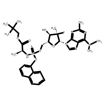 Cc1nc(N(C)C)c2ncn([C@@H]3O[C@H](CO[P@](=S)(N[C@@H](C)C(=O)OCC(C)(C)C)Oc4cccc5ccccc45)[C@@H](O)[C@@]3(C)F)c2n1